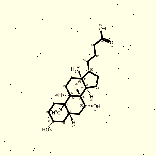 C[C@]12CC[C@@H](O)C[C@H]1C[C@@H](O)[C@@H]1[C@@H]2CC[C@]2(C)[C@@H](CCCC(=O)O)CC[C@@H]12